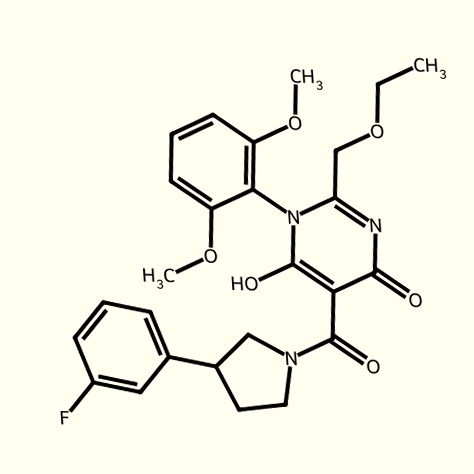 CCOCc1nc(=O)c(C(=O)N2CCC(c3cccc(F)c3)C2)c(O)n1-c1c(OC)cccc1OC